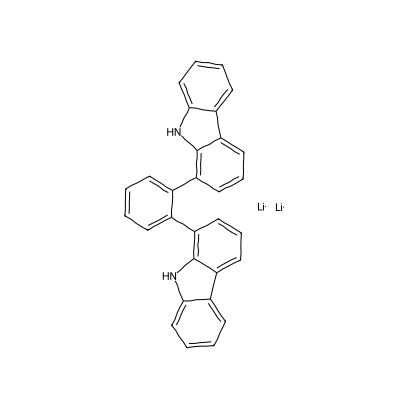 [Li].[Li].c1ccc(-c2cccc3c2[nH]c2ccccc23)c(-c2cccc3c2[nH]c2ccccc23)c1